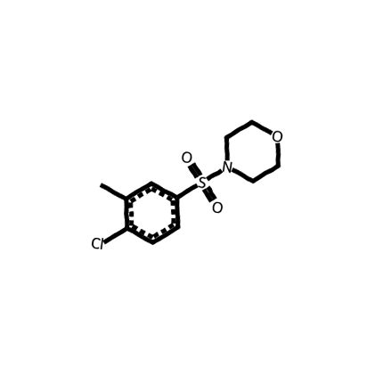 Cc1cc(S(=O)(=O)N2CCOCC2)ccc1Cl